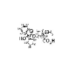 C[N@@+]1(CC(=O)O)CC[C@@H](OC(=O)[C@@](O)(c2ccccc2)C2CCCC2)C1